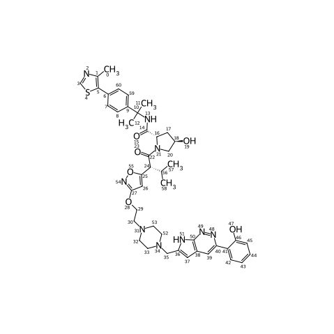 Cc1ncsc1-c1ccc(C(C)(C)NC(=O)[C@@H]2C[C@@H](O)CN2C(=O)[C@@H](c2cc(OCCN3CCN(Cc4cc5cc(-c6ccccc6O)nnc5[nH]4)CC3)no2)C(C)C)cc1